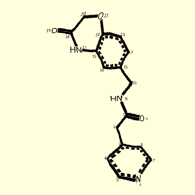 O=C(Cc1ccncc1)NCc1ccc2c(c1)NC(=O)CO2